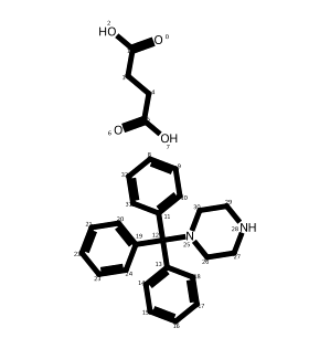 O=C(O)CCC(=O)O.c1ccc(C(c2ccccc2)(c2ccccc2)N2CCNCC2)cc1